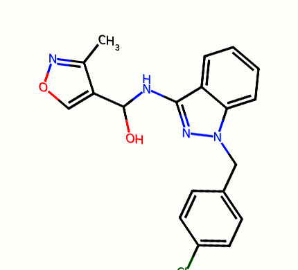 Cc1nocc1C(O)Nc1nn(Cc2ccc(Cl)cc2)c2ccccc12